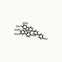 COc1cc2c(cc1OC)C1(c3cc(-c4ccc(-c5ccc(C(C)(C)C)cc5)cc4)ccc3-2)c2cc(C(C)(C)C)ccc2-c2cc(OC)c(OC)cc21